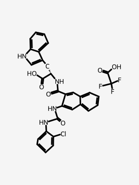 O=C(Nc1ccccc1Cl)Nc1cc2ccccc2cc1C(=O)N[C@@H](Cc1c[nH]c2ccccc12)C(=O)O.O=C(O)C(F)(F)F